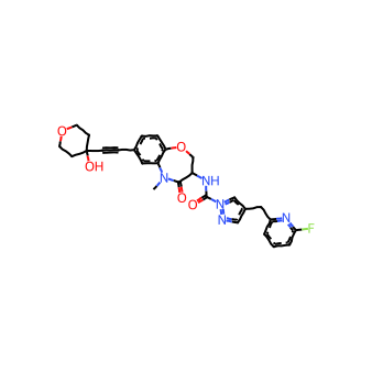 CN1C(=O)C(NC(=O)n2cc(Cc3cccc(F)n3)cn2)COc2ccc(C#CC3(O)CCOCC3)cc21